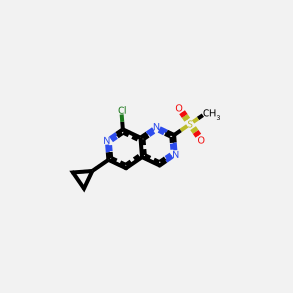 CS(=O)(=O)c1ncc2cc(C3CC3)nc(Cl)c2n1